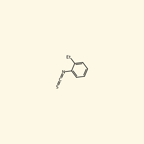 CCc1ccccc1N=C=S